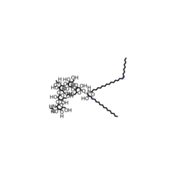 CCCCCCCC/C=C\CCCCCCCCCCCCCC(=O)N[C@@H](CO[C@@H]1OC(CO)[C@@H](O[C@@H]2OC(CO)[C@H](O)[C@H](O[C@@H]3OC(CO)[C@@H](O[C@@H]4OC(CO)[C@H](O)[C@H](O[C@@H]5OC(CO)[C@@H](O)[C@H](O)C5NC(C)=O)C4O)[C@H](O)C3NC(C)=O)C2O)[C@H](O)C1O)[C@H](O)/C=C/CCCCCCCCCCCCC